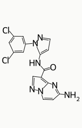 Nc1ccn2ncc(C(=O)Nc3ccnn3-c3cc(Cl)cc(Cl)c3)c2n1